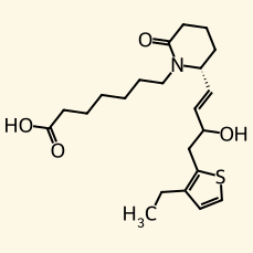 CCc1ccsc1CC(O)/C=C/[C@H]1CCCC(=O)N1CCCCCCC(=O)O